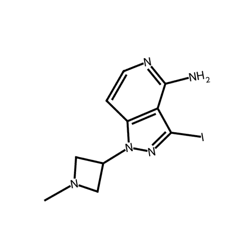 CN1CC(n2nc(I)c3c(N)nccc32)C1